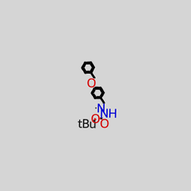 CC(C)(C)OC(=O)N[N]Cc1ccc(OCc2ccccc2)cc1